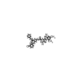 Cc1cc(C)c(SNC(CNC(=O)COC2CC(CNc3cc(Cl)ccn3)N(C(=O)OCc3ccccc3)C2)C(=O)O)c(C)c1